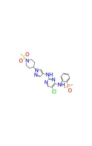 CP(C)(=O)c1ccccc1Nc1nc(Nc2cnn(C3CCN(S(C)(=O)=O)CC3)c2)ncc1Cl